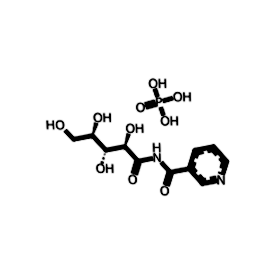 O=C(NC(=O)[C@H](O)[C@H](O)[C@H](O)CO)c1cccnc1.O=P(O)(O)O